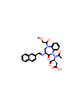 COCC(=O)N1C[C@H](N=Cc2ccc3ccccc3c2)C(=O)N(N(C(C)=O)[C@H](C=O)CC(=O)O)c2ccccc21